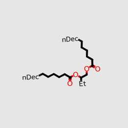 CCCCCCCCCCCCCCCC(=O)OCC(CC)OC(=O)CCCCCCCCCCCCCCC